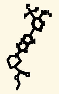 CCOC(=O)C1CCCN(c2nn3cc(-c4cnc(N)c(C(F)(F)F)c4)nc3s2)C1